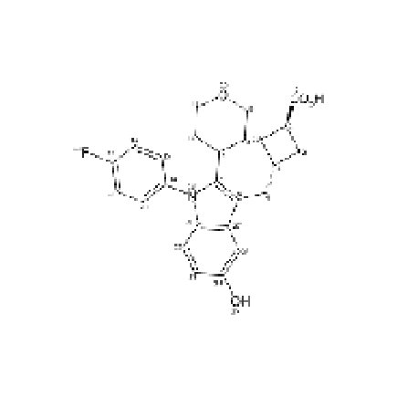 O=C(O)[C@H]1C[C@H](Cc2c(C3CCOCC3)n(-c3ccc(F)cc3)c3ccc(O)cc23)C1